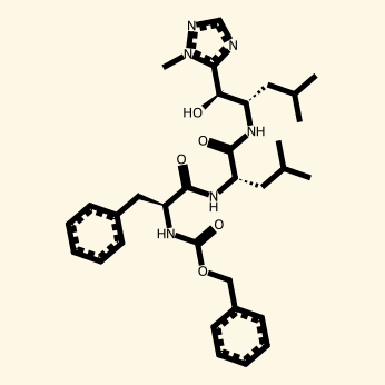 CC(C)C[C@H](NC(=O)[C@H](Cc1ccccc1)NC(=O)OCc1ccccc1)C(=O)N[C@@H](CC(C)C)[C@@H](O)c1ncnn1C